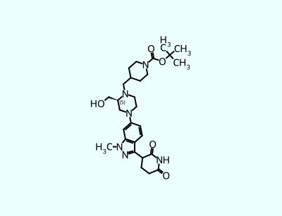 Cn1nc(C2CCC(=O)NC2=O)c2ccc(N3CCN(CC4CCN(C(=O)OC(C)(C)C)CC4)[C@H](CO)C3)cc21